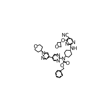 N#Cc1cnc(N[C@H]2CC[C@H](N(C(=O)OCc3ccccc3)c3ncc(-c4cnn(C5CCOCC5)c4)cn3)CC2)nc1OC1COC1